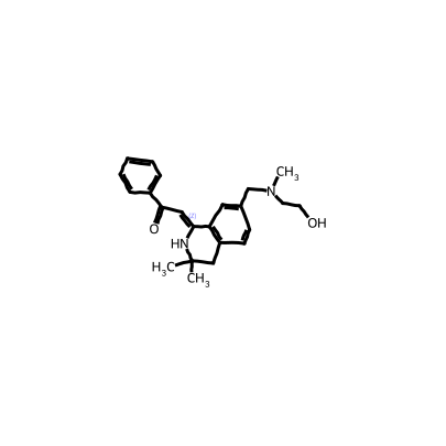 CN(CCO)Cc1ccc2c(c1)/C(=C/C(=O)c1ccccc1)NC(C)(C)C2